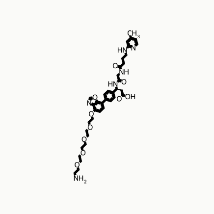 Cc1ccnc(NCCCC(=O)NCC(=O)N[C@@H](CC(=O)O)c2ccc(-c3ccc(OCCOCCOCCOCCOCCN)c4ncoc34)cc2)c1